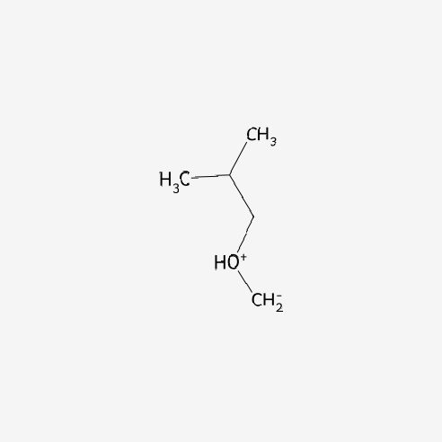 [CH2-][OH+]CC(C)C